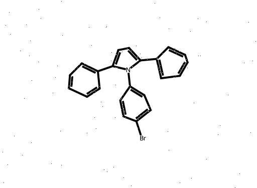 Brc1ccc(-n2c(-c3ccccc3)ccc2-c2ccccc2)cc1